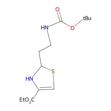 CCOC(=O)C1=CSC(CCNC(=O)OC(C)(C)C)N1